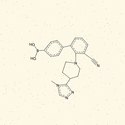 Cn1cnnc1C1CCN(c2c(C#N)cccc2-c2ccc(B(O)O)cc2)CC1